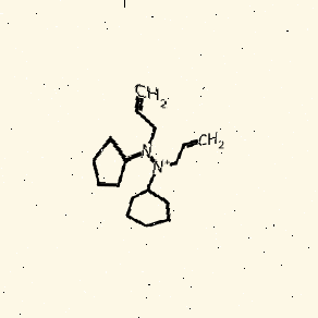 C=CCN(C1CCCC1)[N+](CC=C)C1CCCCC1